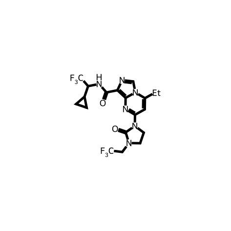 CCc1cc(N2CCN(CC(F)(F)F)C2=O)nc2c(C(=O)NC(C3CC3)C(F)(F)F)ncn12